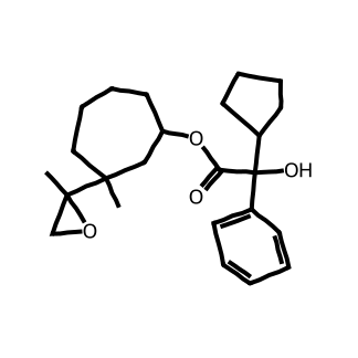 CC1(C2(C)CO2)CCCCC(OC(=O)C(O)(c2ccccc2)C2CCCC2)C1